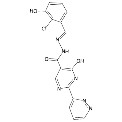 O=C(N/N=C/c1cccc(O)c1Cl)c1cnc(-c2cccnn2)nc1O